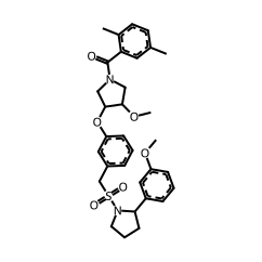 COc1cccc(C2CCCN2S(=O)(=O)Cc2cccc(OC3CN(C(=O)c4cc(C)ccc4C)CC3OC)c2)c1